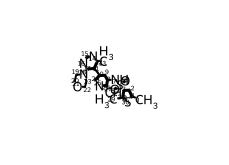 Cc1cc(S(=O)(=O)Nc2cc(-c3c(C)ncnc3N3CCOCC3)cnc2C)c(C)s1